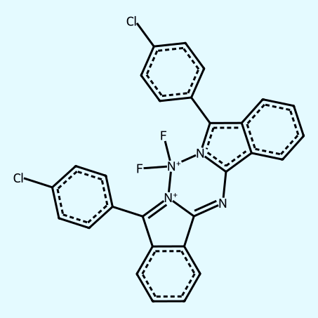 F[N+]1(F)n2c(c3ccccc3c2-c2ccc(Cl)cc2)N=C2c3ccccc3C(c3ccc(Cl)cc3)=[N+]21